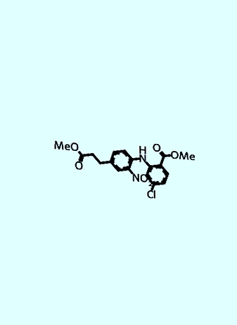 COC(=O)CCc1ccc(Nc2cc(Cl)ccc2C(=O)OC)c([N+](=O)[O-])c1